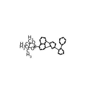 CC1(C)OB(c2ccc3c4c(cccc24)-c2ccc(-c4ccccc4-c4ccccc4)cc2-3)OC1(C)C